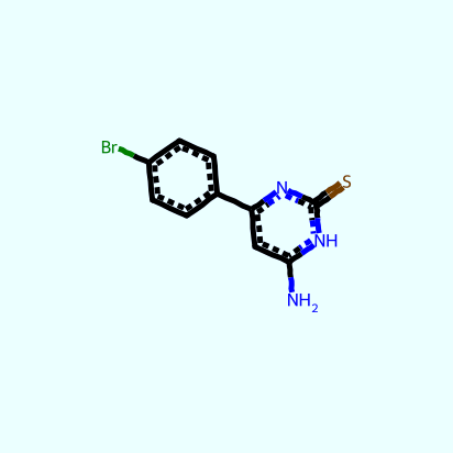 Nc1cc(-c2ccc(Br)cc2)nc(=S)[nH]1